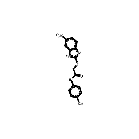 N#Cc1ccc(NC(=O)CSc2nc3ccc([N+](=O)[O-])cc3[nH]2)cc1